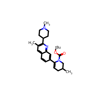 Cc1cc2ccc(C3=CCC(C)CN3C(=O)OC(C)(C)C)cc2nc1C1CCN(C)CC1